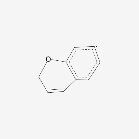 [c]1ccc2c(c1)OCC=C2